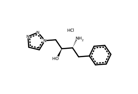 Cl.N[C@H](Cc1ccccc1)[C@@H](O)Cn1ccnn1